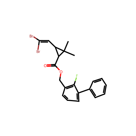 CC1(C)C(C=C(Br)Br)C1C(=O)OCc1cccc(-c2ccccc2)c1F